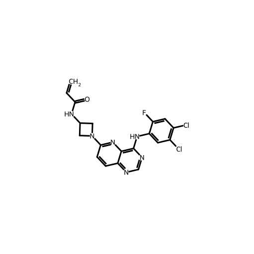 C=CC(=O)NC1CN(c2ccc3ncnc(Nc4cc(Cl)c(Cl)cc4F)c3n2)C1